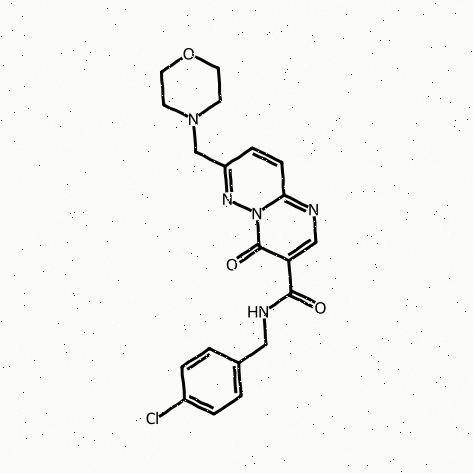 O=C(NCc1ccc(Cl)cc1)c1cnc2ccc(CN3CCOCC3)nn2c1=O